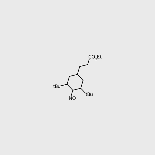 CCOC(=O)CCC1CC(C(C)(C)C)C(N=O)C(C(C)(C)C)C1